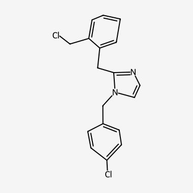 ClCc1ccccc1Cc1nccn1Cc1ccc(Cl)cc1